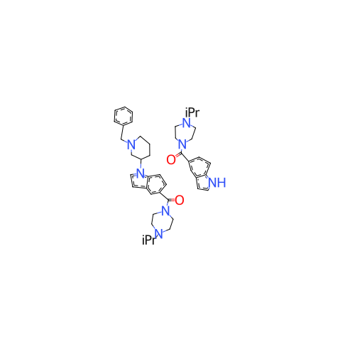 CC(C)N1CCN(C(=O)c2ccc3[nH]ccc3c2)CC1.CC(C)N1CCN(C(=O)c2ccc3c(ccn3C3CCCN(Cc4ccccc4)C3)c2)CC1